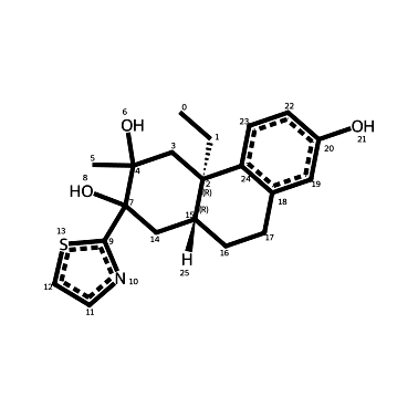 CC[C@@]12CC(C)(O)C(O)(c3nccs3)C[C@H]1CCc1cc(O)ccc12